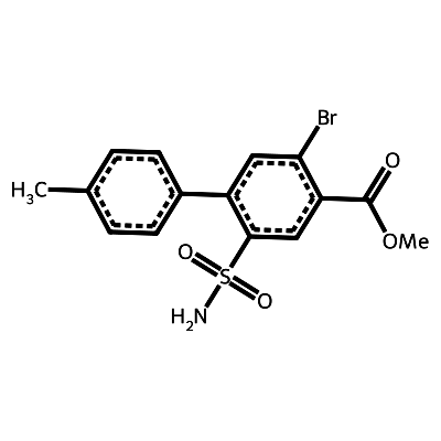 COC(=O)c1cc(S(N)(=O)=O)c(-c2ccc(C)cc2)cc1Br